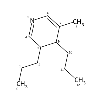 CCCC1C=NC=C(C)C1CCC